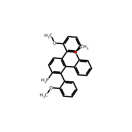 COc1ccccc1-c1ccc(P)c(-c2ccccc2OC)c1-c1ccccc1OC